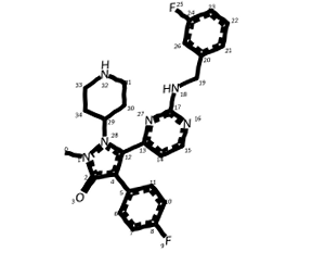 Cn1c(=O)c(-c2ccc(F)cc2)c(-c2ccnc(NCc3cccc(F)c3)n2)n1C1CCNCC1